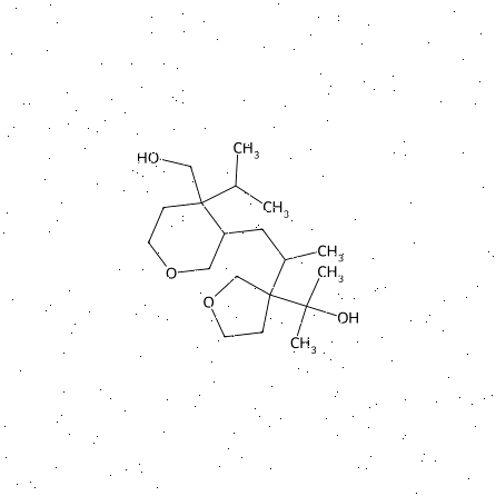 CC(C)C1(CO)CCOCC1CC(C)C1(C(C)(C)O)CCOC1